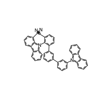 N#Cc1cccc(-c2cccc(-c3cccc(-n4c5ccccc5c5ccccc54)c3)c2)c1-n1c2ccccc2c2cccc(C#N)c21